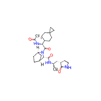 N#C[C@H](C[C@@H]1CCNC1=O)NC(=O)[C@@H]1[C@H]2CC[C@H](C2)N1C(=O)[C@@H](NC(=O)C(F)(F)F)C1CCC2(CC1)CC2